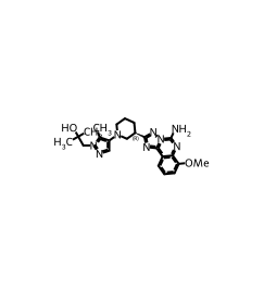 COc1cccc2c1nc(N)n1nc([C@@H]3CCCN(c4cnn(CC(C)(C)O)c4C)C3)nc21